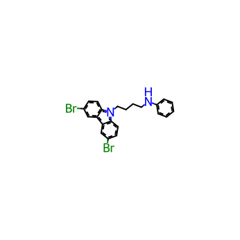 Brc1ccc2c(c1)c1cc(Br)ccc1n2CCCCNc1ccccc1